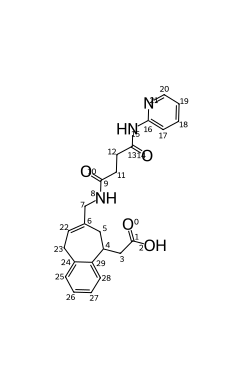 O=C(O)CC1CC(CNC(=O)CCC(=O)Nc2ccccn2)=CCc2ccccc21